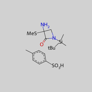 CSC1(N)CN([Si](C)(C)C(C)(C)C)C1=O.Cc1ccc(S(=O)(=O)O)cc1